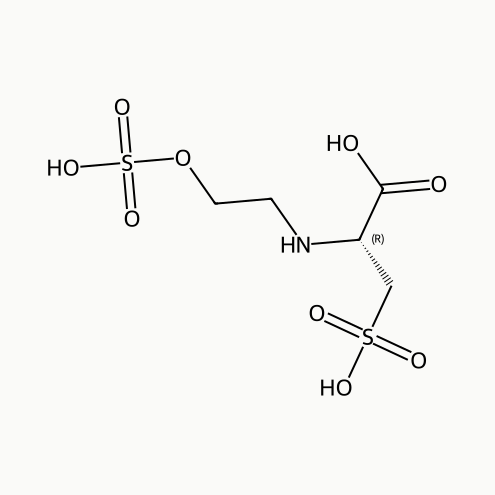 O=C(O)[C@H](CS(=O)(=O)O)NCCOS(=O)(=O)O